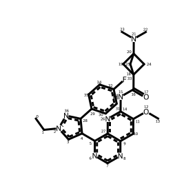 CCn1cc(-c2ncnc3cc(OC)c(NC(=O)C45CC(N(C)C)(C4)C5)nc23)c(-c2ccc(F)cc2)n1